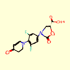 O=C1C=CN(c2c(F)cc(N3C[C@H](C(=O)O)OC3=O)cc2F)CC1